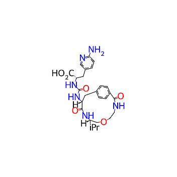 CC(C)[C@H]1COCCNC(=O)c2ccc(cc2)C[C@@H](NC(=O)N[C@@H](Cc2ccc(N)nc2)C(=O)O)C(=O)N1